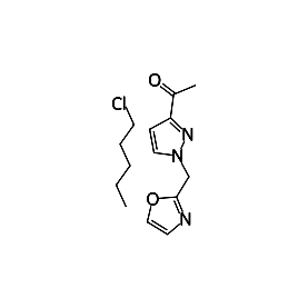 CC(=O)c1ccn(Cc2ncco2)n1.CCCCCCl